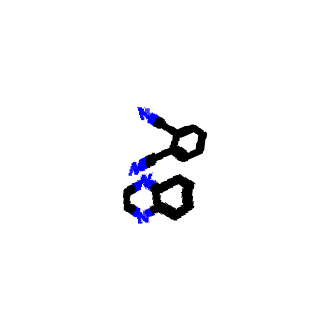 N#Cc1ccccc1C#N.c1ccc2nccnc2c1